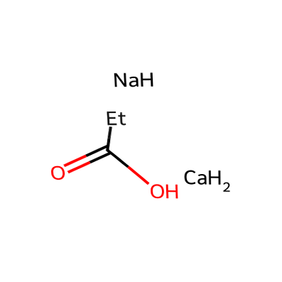 CCC(=O)O.[CaH2].[NaH]